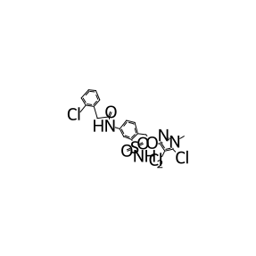 Cn1nc(OCc2ccc(NC(=O)Cc3ccccc3Cl)cc2S(N)(=O)=O)c(Cl)c1Cl